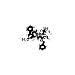 CC(OCc1ccccc1)[C@@H](NC(=O)C(C)(C)N)C(=O)N1CCCC2(C1)C(=O)N(C)CC2c1ccccc1